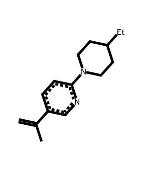 C=C(C)c1ccc(N2CCC(CC)CC2)nc1